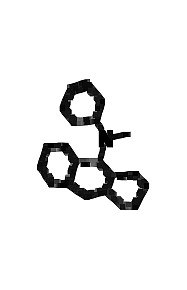 CN(c1cc#ccc1)c1c2ccccc2cc2ccccc12